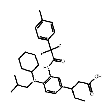 CCC(CC(=O)O)c1ccc(N(CC(C)C)C2CCCCC2)c(NC(=O)C(F)(F)c2ccc(C)cc2)c1